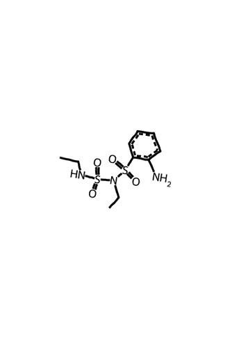 CCNS(=O)(=O)N(CC)S(=O)(=O)c1ccccc1N